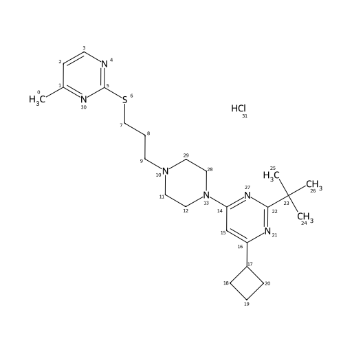 Cc1ccnc(SCCCN2CCN(c3cc(C4CCC4)nc(C(C)(C)C)n3)CC2)n1.Cl